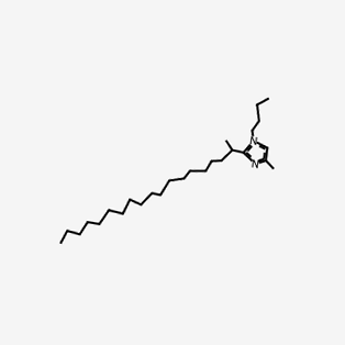 CCCCCCCCCCCCCCCCCC(C)c1nc(C)cn1CCCC